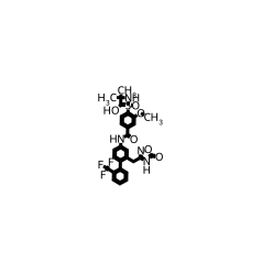 COc1cc(C(=O)Nc2ccc(-c3ccccc3C(F)(F)F)c(Cc3noc(=O)[nH]3)c2)ccc1S1(=O)=C(O)C(C)(C)N1